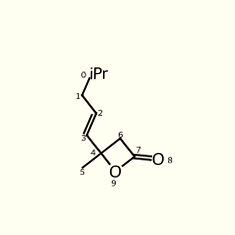 CC(C)CC=CC1(C)CC(=O)O1